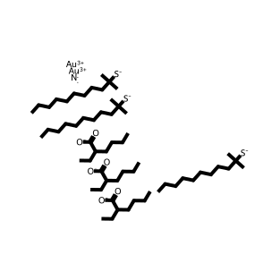 CCCCC(CC)C(=O)[O-].CCCCC(CC)C(=O)[O-].CCCCC(CC)C(=O)[O-].CCCCCCCCCC(C)(C)[S-].CCCCCCCCCC(C)(C)[S-].CCCCCCCCCC(C)(C)[S-].[Au+3].[Au+3].[N]